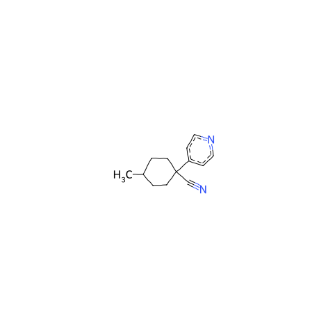 CC1CCC(C#N)(c2ccncc2)CC1